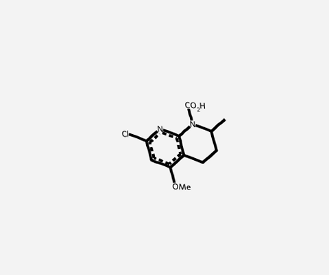 COc1cc(Cl)nc2c1CCC(C)N2C(=O)O